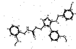 COc1cccc(-n2c(CCC(=O)NCc3ccccc3OC)nnc2SCc2cccc(F)c2)c1